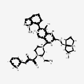 Cn1ncc2cccc(-c3ncc4c(N5CCN(C(=O)/C(F)=C/c6ccccn6)[C@@H](CC#N)C5)nc(OC[C@@]56CCCN5C[C@H](F)C6)nc4c3F)c21